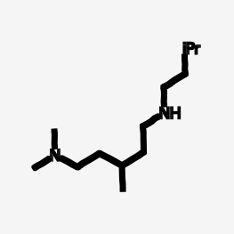 CC(C)CCNCCC(C)CCN(C)C